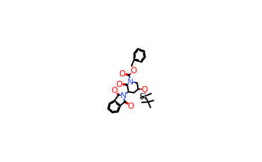 CC(C)(C)[Si](C)(C)OC1CC(N2C(=O)c3ccccc3C2=O)C(=O)N(C(=O)OCc2ccccc2)C1